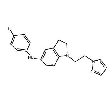 Fc1ccc(Nc2ccc3c(c2)CCN3CCn2cncn2)cc1